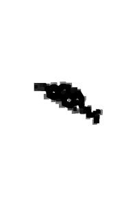 CN(C)CCOC1CC[C@H]2[C@@H]3CCc4cc(O)ccc4[C@H]3CC[C@]12C